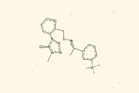 CC(=NOCc1ccccc1-n1nnn(C)c1=O)c1cccc([Si](C)(C)C)c1